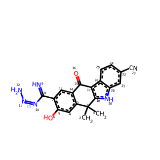 CC1(C)c2cc(O)c(C(=N)/N=N\N)cc2C(=O)c2c1[nH]c1cc(C#N)ccc21